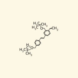 C=Cc1ccc(/C=C/c2ccc(COCC(C)(C)C)cc2)cc1COC(C)(C)C